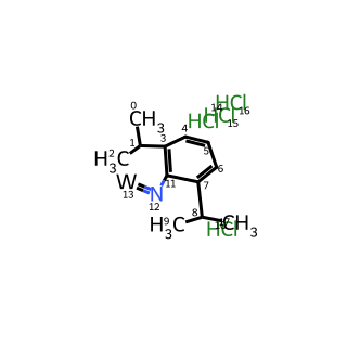 CC(C)c1cccc(C(C)C)c1[N]=[W].Cl.Cl.Cl.Cl